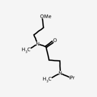 COCCN(C)C(=O)CCN(C)C(C)C